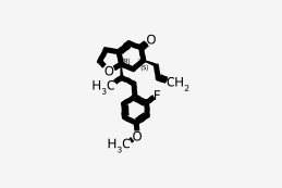 C=CC[C@H]1C[C@]2(C(C)Cc3ccc(OC)cc3F)OCCC2=CC1=O